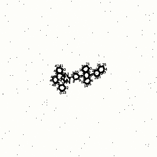 c1ccc(-c2nc(-c3ccc(-c4c5ccccc5c(-c5ccc6ccccc6c5)c5ccccc45)cc3)nc(-c3ccccc3-c3ccccc3)n2)cc1